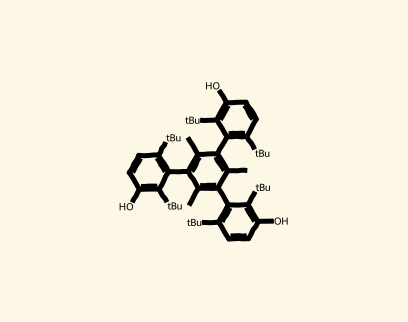 Cc1c(-c2c(C(C)(C)C)ccc(O)c2C(C)(C)C)c(C)c(-c2c(C(C)(C)C)ccc(O)c2C(C)(C)C)c(C)c1-c1c(C(C)(C)C)ccc(O)c1C(C)(C)C